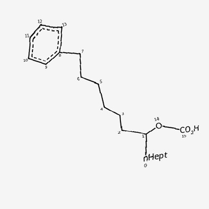 CCCCCCCC(CCCCCCc1ccccc1)OC(=O)O